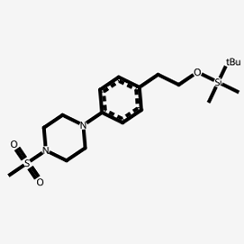 CC(C)(C)[Si](C)(C)OCCc1ccc(N2CCN(S(C)(=O)=O)CC2)cc1